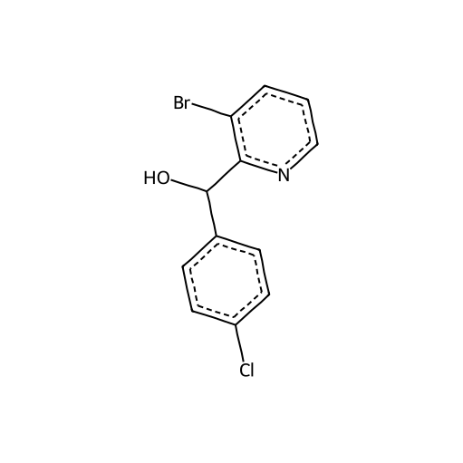 OC(c1ccc(Cl)cc1)c1ncccc1Br